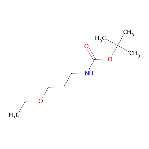 CCOCCCNC(=O)OC(C)(C)C